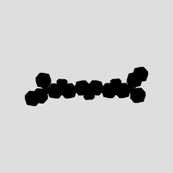 CC1(C)c2cc(-c3ccc4c(c3)C(C)(C)c3cc(N(c5ccccc5)c5ccc6ccccc6c5)ccc3-4)ccc2-c2ccc(-c3ccc4c(c3)C(C)(C)c3cc(N(c5ccccc5)c5ccc6ccccc6c5)ccc3-4)cc21